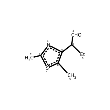 CCC(C=O)c1nc(C)sc1C